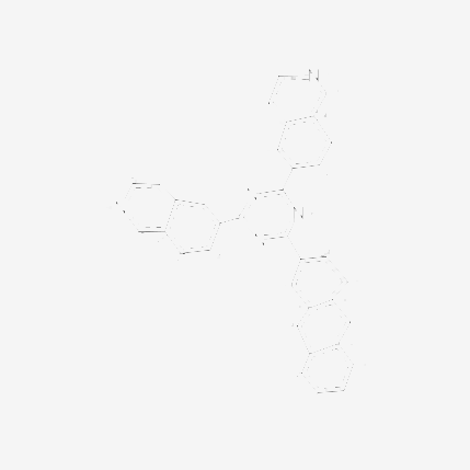 c1ccc2cc3cc(-c4nc(-c5ccc6cnccc6c5)nc(-c5ccc6cnccc6c5)n4)ccc3cc2c1